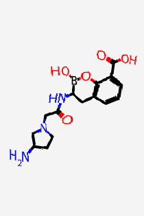 NC1CCN(CC(=O)NC2Cc3cccc(C(=O)O)c3OB2O)C1